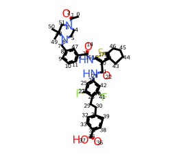 CC(=O)N1CCN(Cc2cccc(C(=O)Nc3sc4c(c3C(=O)Nc3cc(F)c(CCc5ccc(C(=O)O)cc5)c(F)c3)CCCC4)c2)C(C)(C)C1